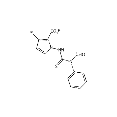 CCOC(=O)c1c(F)ccn1NC(=S)N(C=O)c1ccccc1